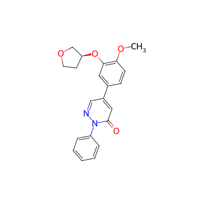 COc1ccc(-c2cnn(-c3ccccc3)c(=O)c2)cc1O[C@H]1CCOC1